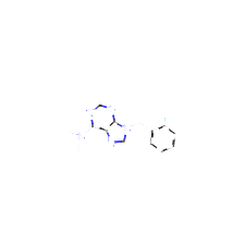 CNc1ncnc2c1ncn2Cc1ccccc1F.Cl